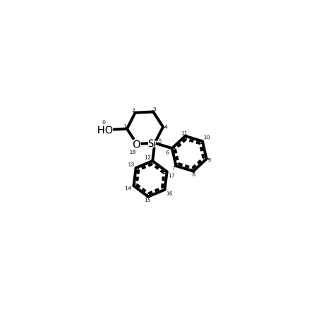 OC1CCC[Si](c2ccccc2)(c2ccccc2)O1